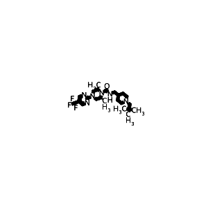 C[C@@H]1CN(c2ncc(C(F)(F)F)cn2)C[C@@H](C)N1C(=O)NCC1CCN(CC(C)(C)C)CC1